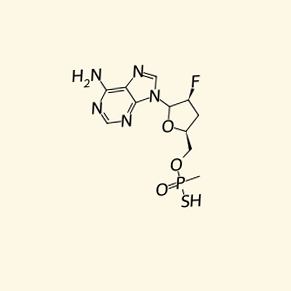 CP(=O)(S)OC[C@@H]1C[C@H](F)C(n2cnc3c(N)ncnc32)O1